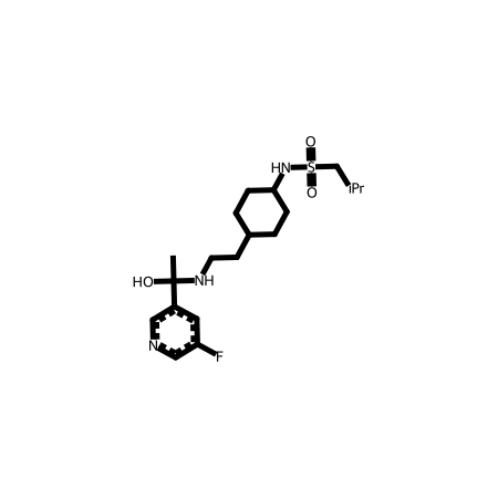 CC(C)CS(=O)(=O)NC1CCC(CCNC(C)(O)c2cncc(F)c2)CC1